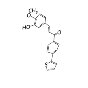 COc1ccc(C=CC(=O)c2ccc(-c3cccs3)cc2)cc1O